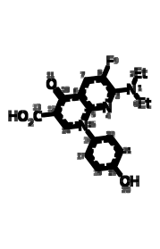 CCN(CC)c1nc2c(cc1F)c(=O)c(C(=O)O)cn2-c1ccc(O)cc1